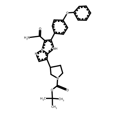 CC(C)(C)OC(=O)N1CCC(c2cnn3c(C(N)=O)c(-c4ccc(Oc5ccccc5)cc4)[nH]c23)C1